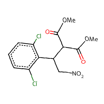 COC(=O)C(C(=O)OC)C(C[N+](=O)[O-])c1c(Cl)cccc1Cl